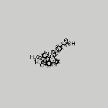 COc1ccnc(C2OC(CC(=O)N3CCC(CCC(=O)O)CC3)c3cccn3-c3ccc(Cl)cc32)c1OC